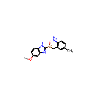 CCOc1ccc2[nH]c([S+]([O-])Cc3cc(C)ccc3N)nc2c1